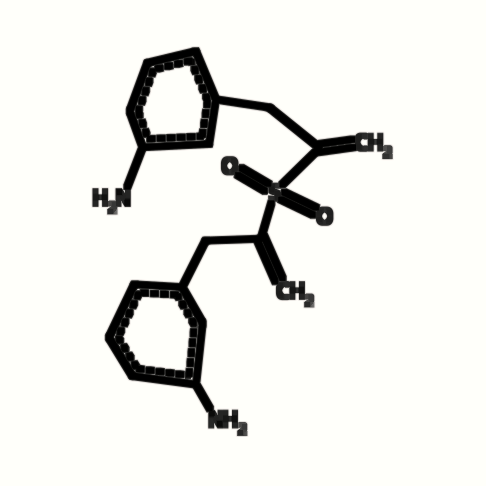 C=C(Cc1cccc(N)c1)S(=O)(=O)C(=C)Cc1cccc(N)c1